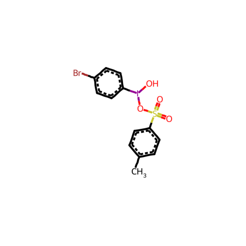 Cc1ccc(S(=O)(=O)OI(O)c2ccc(Br)cc2)cc1